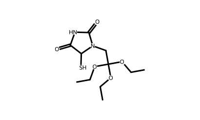 CCOC(CN1C(=O)NC(=O)C1S)(OCC)OCC